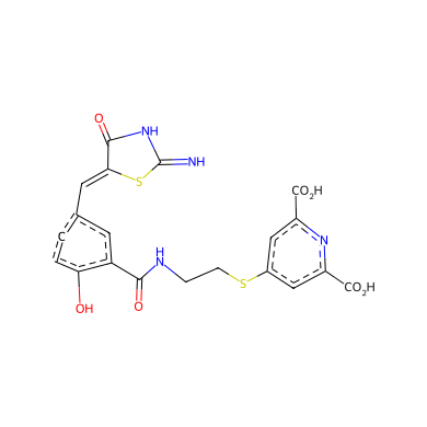 N=C1NC(=O)C(=Cc2ccc(O)c(C(=O)NCCSc3cc(C(=O)O)nc(C(=O)O)c3)c2)S1